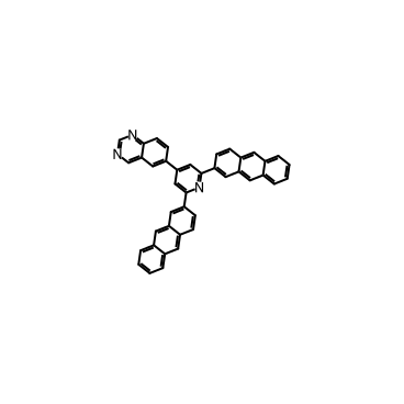 c1ccc2cc3cc(-c4cc(-c5ccc6ncncc6c5)cc(-c5ccc6cc7ccccc7cc6c5)n4)ccc3cc2c1